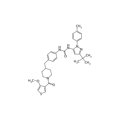 COc1cscc1C(=O)N1CCC(Cc2ccc(NC(=O)Nc3cc(C(C)(C)C)nn3-c3ccc(C)cc3)cc2)CC1